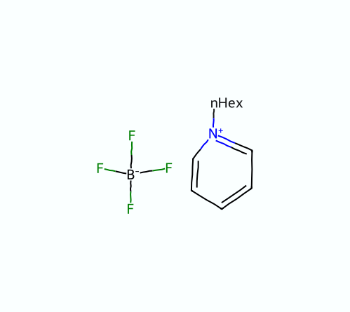 CCCCCC[n+]1ccccc1.F[B-](F)(F)F